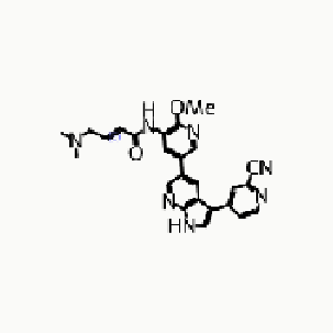 COc1ncc(-c2cnc3[nH]cc(-c4ccnc(C#N)c4)c3c2)cc1NC(=O)/C=C/CN(C)C